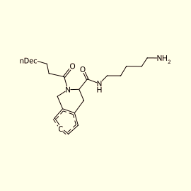 CCCCCCCCCCCCC(=O)N1Cc2ccccc2CC1C(=O)NCCCCCN